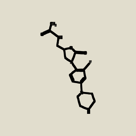 CC(=O)NCC1CN(c2ccc(N3CCNCC3)cc2F)C(=O)O1